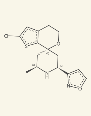 C[C@H]1C[C@@]2(C[C@@H](c3ccon3)N1)OCCc1cc(Cl)sc12